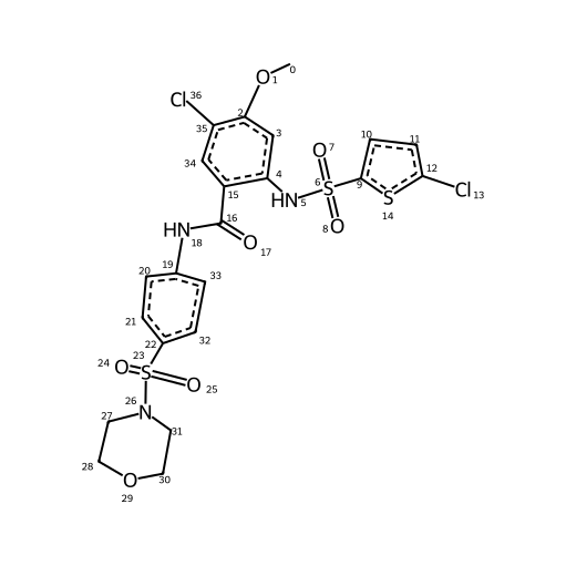 COc1cc(NS(=O)(=O)c2ccc(Cl)s2)c(C(=O)Nc2ccc(S(=O)(=O)N3CCOCC3)cc2)cc1Cl